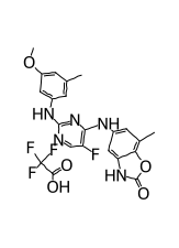 COc1cc(C)cc(Nc2ncc(F)c(Nc3cc(C)c4oc(=O)[nH]c4c3)n2)c1.O=C(O)C(F)(F)F